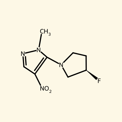 Cn1ncc([N+](=O)[O-])c1N1CC[C@@H](F)C1